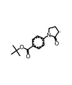 CC(C)(C)OC(=O)c1ccc(N2CC[CH]C2=O)cc1